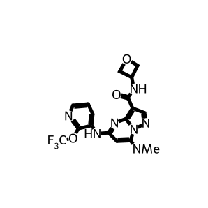 CNc1cc(Nc2cccnc2OC(F)(F)F)nc2c(C(=O)NC3COC3)cnn12